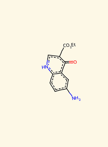 CCOC(=O)c1c[nH]c2ccc(N)cc2c1=O